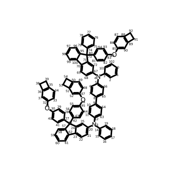 c1ccc(N(c2ccc(-c3ccc(N(c4ccccc4)c4ccc5c(c4)C(c4ccc(Oc6ccc7c(c6)CC7)cc4)(c4ccc(Oc6ccc7c(c6)CC7)cc4)c4ccccc4-5)cc3)cc2)c2ccc3c(c2)C(c2ccccc2)(c2ccc(Oc4ccc5c(c4)CC5)cc2)c2ccccc2-3)cc1